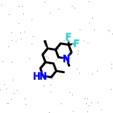 CC1CNCC(C[C@@H](C)C2CN(C)CC(F)(F)C2)C1